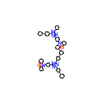 c1ccc(-c2ccc(-c3nc(-c4ccc(-c5cccc(-c6cccc7c6Oc6ccccc6N7c6ccc(-c7nc(-c8ccccc8)nc(-c8ccc(-c9ccccc9)cc8)n7)cc6)c5)cc4)nc(-c4ccc(N5c6ccccc6Oc6ccccc65)cc4)n3)cc2)cc1